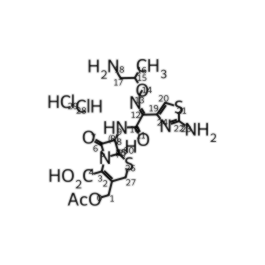 CC(=O)OCC1=C(C(=O)O)N2C(=O)[C@@H](NC(=O)C(=NOC(C)CN)c3csc(N)n3)[C@H]2SC1.Cl.Cl